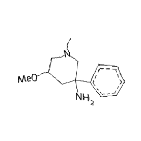 COC1CN(C)CC(N)(c2ccccc2)C1